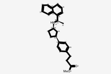 COC(=O)CCc1ccc([C@H]2CC[C@@H](N[C@H](C)c3cccc4ccccc34)C2)cc1